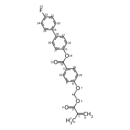 C=C(C)C(=O)OCOc1ccc(C(=O)Oc2ccc(-c3ccc(F)cc3)cc2)cc1